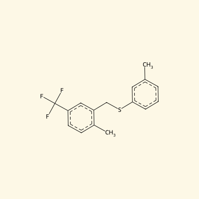 Cc1cccc(SCc2cc(C(F)(F)F)ccc2C)c1